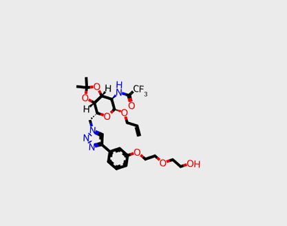 C=CCO[C@H]1O[C@H](Cn2cc(-c3cccc(OCCOCCO)c3)nn2)[C@@H]2OC(C)(C)O[C@@H]2[C@H]1NC(=O)C(F)(F)F